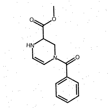 COC(=O)C1CN(C(=O)c2ccccc2)C=CN1